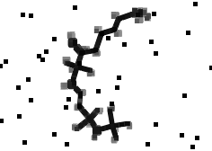 CC(C)(C)OC(C)(C)CCOC(C)(C)C(=O)CCCCN